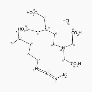 CCN=C=NCCCN(C)C.Cl.O=C(O)CN(CCN(CC(=O)O)CC(=O)O)CC(=O)O